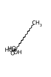 CCCCC/C=C/CC/C=C/C=C/C=C/CCCC(O)(O)C(=O)O